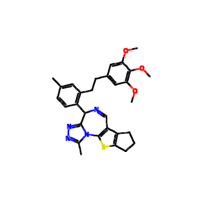 COc1cc(CCc2cc(C)ccc2C2N=Cc3c(sc4c3CCC4)-n3c(C)nnc32)cc(OC)c1OC